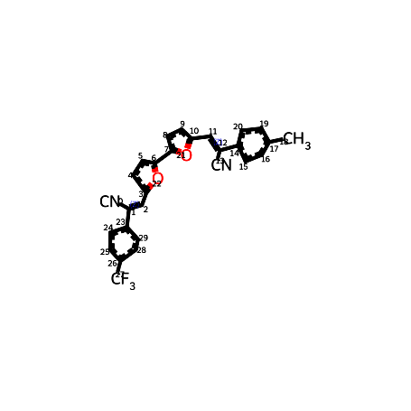 [C-]#[N+]/C(=C\c1ccc(-c2ccc(/C=C(\C#N)c3ccc(C)cc3)o2)o1)c1ccc(C(F)(F)F)cc1